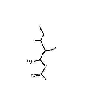 CC(=O)OC(N)C(F)C(F)CF